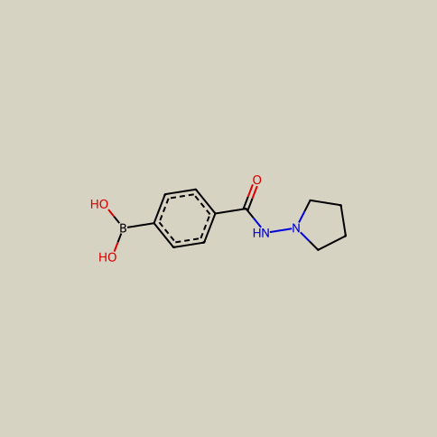 O=C(NN1CCCC1)c1ccc(B(O)O)cc1